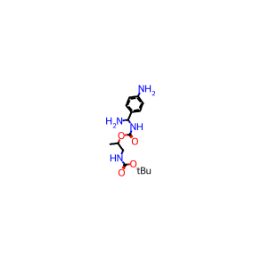 CC(CNC(=O)OC(C)(C)C)OC(=O)NC(N)c1ccc(N)cc1